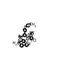 CN1CCC(Oc2ccc(-c3cc(-c4nnc5nc(N(C)c6cccc(-c7ccc(F)nc7)c6)c6ccc(Cl)cc6n45)cc(N(C)c4nc5nncn5c5cc(Cl)ccc45)c3)cc2)CC1